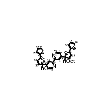 CCCCCCCCC1(c2ccnc(-c3cc(C4(CCCCCCCC)C=CC(c5cccs5)S4)ccn3)c2)C=CC(c2cccs2)S1